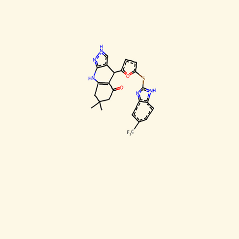 CC1(C)CC(=O)C2=C(C1)Nc1n[nH]cc1C2c1ccc(Sc2nc3cc(C(F)(F)F)ccc3[nH]2)o1